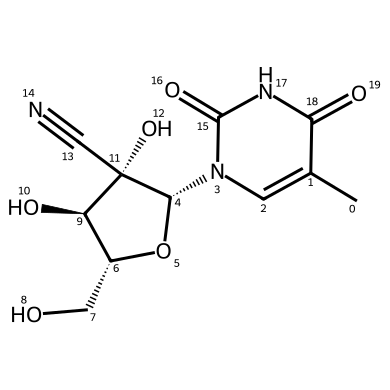 Cc1cn([C@@H]2O[C@H](CO)[C@@H](O)[C@@]2(O)C#N)c(=O)[nH]c1=O